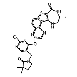 C[C@@H]1CNc2c(sc3ccc4nc(Oc5nc(Cl)ncc5CN5CCC(C)(C)C5=O)cnc4c23)C(=O)N1